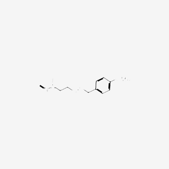 C=NNCCOOCc1ccc(OC)cc1